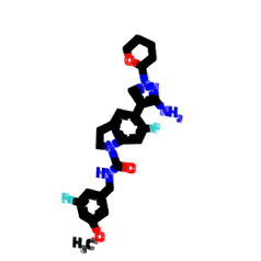 COc1cc(F)cc(CNC(=O)N2CCc3cc(-c4cn(C5CCCCO5)nc4N)c(F)cc32)c1